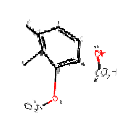 Cc1cccc(O[N+](=O)[O-])c1C.O=C(O)O